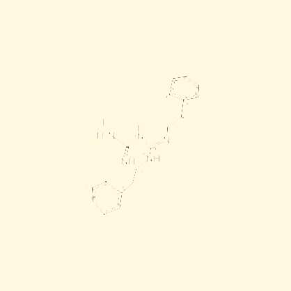 Cl.N=C(N)NC(=NCCc1ccccc1)NCCc1ccccc1